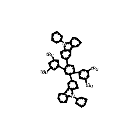 CC(C)(C)c1cc(-c2cc(-c3ccc4c(c3)c3ccccc3n4-c3ccccc3)c(-c3cc(C(C)(C)C)cc(C(C)(C)C)c3)cc2-c2ccc3c(c2)c2ccccc2n3-c2ccccc2)cc(C(C)(C)C)c1